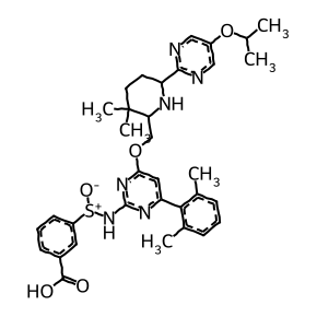 Cc1cccc(C)c1-c1cc(OCC2NC(c3ncc(OC(C)C)cn3)CCC2(C)C)nc(N[S+]([O-])c2cccc(C(=O)O)c2)n1